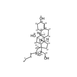 CCCCC(=O)O[C@]1(C(=O)CO)CC[C@H]2[C@@H]3CCC4=CC(O)CC[C@]4(C)[C@H]3[C@@H](O)C[C@@]21C